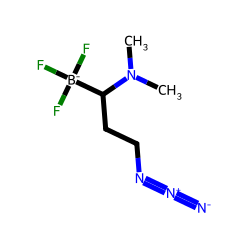 CN(C)C(CCN=[N+]=[N-])[B-](F)(F)F